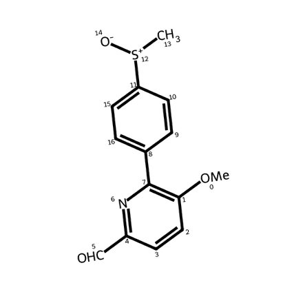 COc1ccc(C=O)nc1-c1ccc([S+](C)[O-])cc1